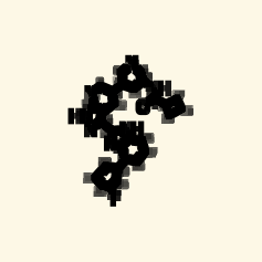 O=C(Nc1cncc(-c2cnc3[nH]nc(-c4nc5c(-c6cccc(F)c6)cccc5[nH]4)c3c2)c1)C1CCC1